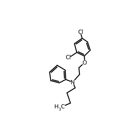 CCCCN(CCOc1ccc(Cl)cc1Cl)c1ccccc1